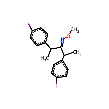 CON=C(C(C)c1ccc(I)cc1)C(C)c1ccc(I)cc1